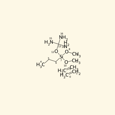 C=C.C=C.CCC[Si](OC)(OC)OC(N)(N)N